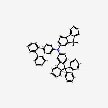 CC1(C)c2ccccc2-c2ccc(N(c3ccc(-c4ccccc4-c4ccccc4)cc3)c3ccc4c(c3)-c3ccccc3C4(c3ccccc3)c3ccccc3)cc21